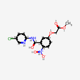 COC(=O)COc1ccc([N+](=O)[O-])c(C(=O)Nc2ccc(Cl)cn2)c1